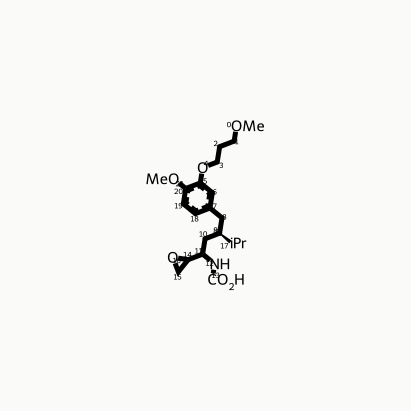 COCCCOc1cc(C[C@H](CC(NC(=O)O)C2CO2)C(C)C)ccc1OC